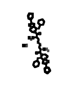 Cl.NC(CSSC[C@H](N)C(=O)N1CCn2nc(-c3ccccc3)cc2[C@H]1CC1CCCCC1)C(=O)N1CCn2nc(-c3ccccc3)cc2[C@H]1CC1CCCCC1